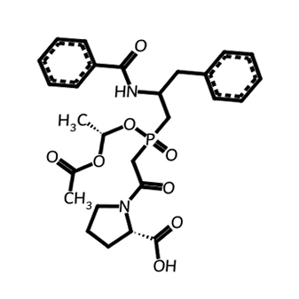 CC(=O)O[C@H](C)OP(=O)(CC(=O)N1CCC[C@H]1C(=O)O)CC(Cc1ccccc1)NC(=O)c1ccccc1